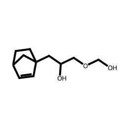 OCOCC(O)CC12C=CC(CC1)C2